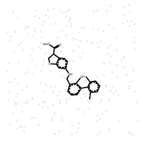 COC(=O)C1COc2cc(NCc3cccc(-c4c(C)cccc4C)c3O)ccc21